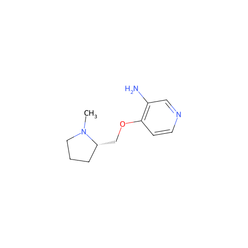 CN1CCC[C@H]1COc1ccncc1N